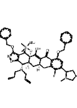 C=CCN(CC=C)[C@@H]1c2onc(OCc3ccccc3)c2C(=O)[C@@]2(O[Si](C)(C)C(C)(C)C)C(O)=C3C(=O)c4c(OCc5ccccc5)cc(C5CCCN5C)c(F)c4C[C@H]3C[C@@H]12